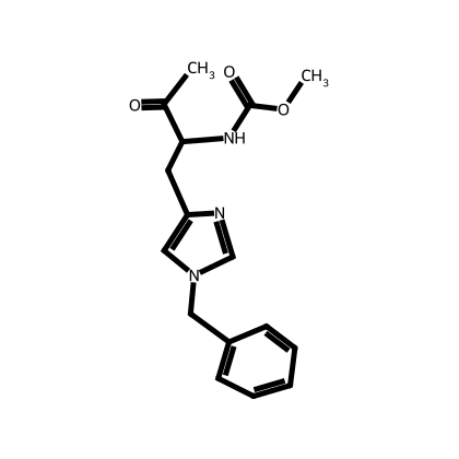 COC(=O)NC(Cc1cn(Cc2ccccc2)cn1)C(C)=O